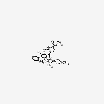 C=CC(=O)N1CCN2C(=O)c3c(N4C[C@H](N5CCN(C)CC5)CC4(C)C)nc(-c4ccccc4F)c(F)c3OC[C@H]2C1